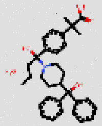 CCCC(O)(c1ccc(C(C)(C)C(=O)O)cc1)N1CCC(C(O)(c2ccccc2)c2ccccc2)CC1.O